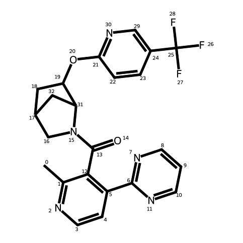 Cc1nccc(-c2ncccn2)c1C(=O)N1CC2CC(Oc3ccc(C(F)(F)F)cn3)C1C2